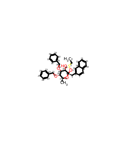 CCSO[C@]1(Cc2ccc3ccccc3c2)O[C@@H](C)[C@H](OCc2ccccc2)[C@@H](OCc2ccccc2)[C@H]1O